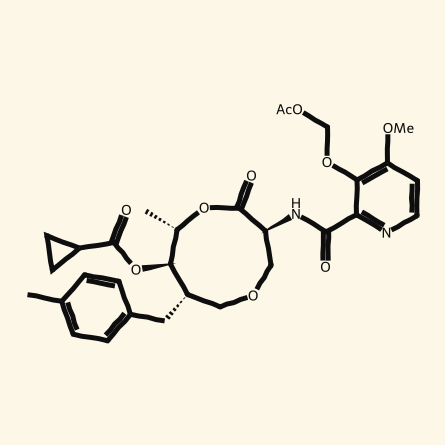 COc1ccnc(C(=O)N[C@H]2COC[C@H](Cc3ccc(C)cc3)[C@@H](OC(=O)C3CC3)[C@H](C)OC2=O)c1OCOC(C)=O